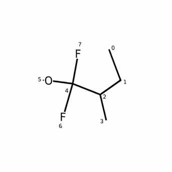 CCC(C)C([O])(F)F